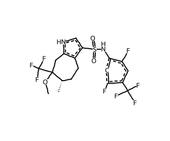 COC1(C(F)(F)F)Cc2[nH]cc(S(=O)(=O)Nc3cc(F)c(C(F)(F)F)cc3F)c2CC[C@@H]1C